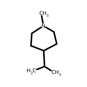 [CH2]C(C)C1CCN(C)CC1